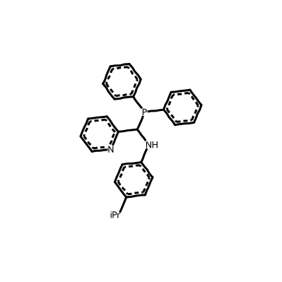 CC(C)c1ccc(NC(c2ccccn2)P(c2ccccc2)c2ccccc2)cc1